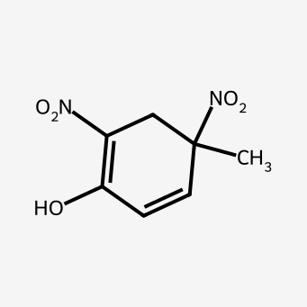 CC1([N+](=O)[O-])C=CC(O)=C([N+](=O)[O-])C1